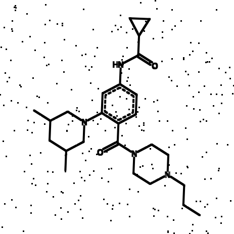 CCCN1CCN(C(=O)c2ccc(NC(=O)C3CC3)cc2N2CC(C)CC(C)C2)CC1